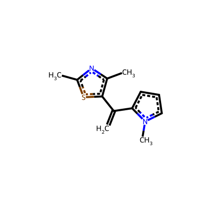 C=C(c1sc(C)nc1C)c1cccn1C